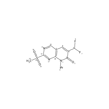 CC(C)n1c(=O)c(C(F)F)cc2cnc(S(C)(=O)=O)nc21